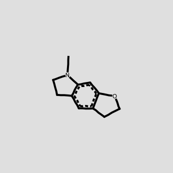 CN1CCc2cc3c(cc21)OCC3